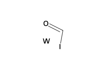 O=CI.[W]